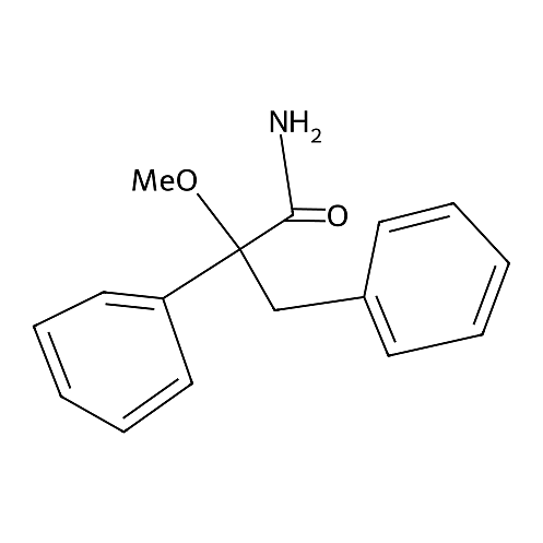 COC(Cc1ccccc1)(C(N)=O)c1ccccc1